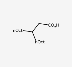 CCCCCCCCC(CCCCCCCC)CC(=O)O